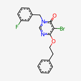 O=c1c(Br)c(OCCc2ccccc2)ncn1Cc1cccc(F)c1